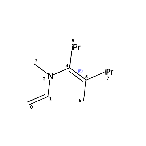 C=CN(C)/C(=C(\C)C(C)C)C(C)C